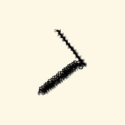 CCCCCCCCCCCCCCCCCCCC=C(CC)C(=O)OC(F)(F)C(F)(F)C(F)(F)C(F)(F)C(F)(F)C(F)(F)C(F)(F)C(F)(F)C(F)(F)C(F)(F)C(F)(F)C(F)(F)C(F)(F)C(F)(F)C(F)(F)C(F)(F)C(F)(F)C(F)(F)C(F)(F)F